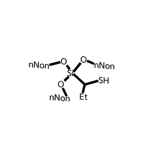 CCCCCCCCCO[Si](OCCCCCCCCC)(OCCCCCCCCC)C(S)CC